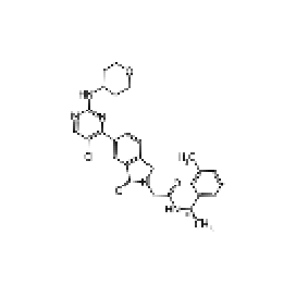 Cc1cccc([C@@H](C)NC(=O)CN2Cc3ccc(-c4nc(NC5CCOCC5)ncc4Cl)cc3C2=O)c1